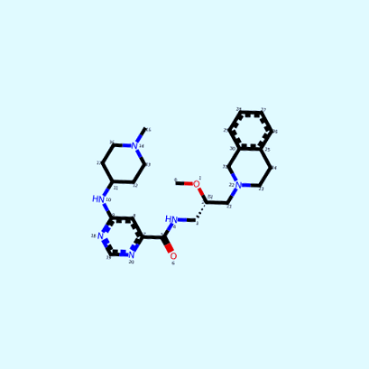 CO[C@@H](CNC(=O)c1cc(NC2CCN(C)CC2)ncn1)CN1CCc2ccccc2C1